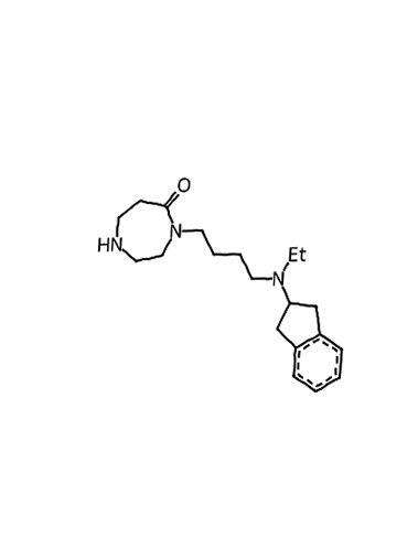 CCN(CCCCN1CCNCCC1=O)C1Cc2ccccc2C1